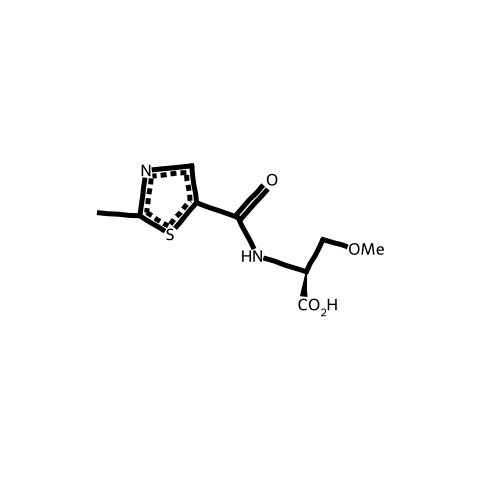 COC[C@H](NC(=O)c1cnc(C)s1)C(=O)O